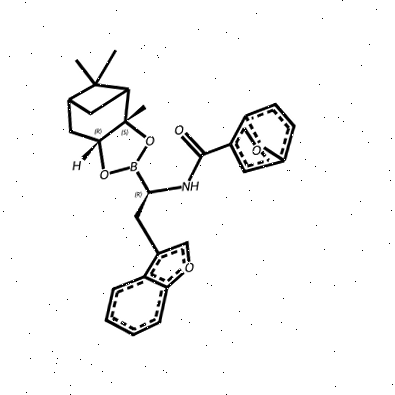 CC1(C)C2CC1[C@]1(C)OB([C@H](Cc3coc4ccccc34)NC(=O)c3cc4ccc3o4)O[C@@H]1C2